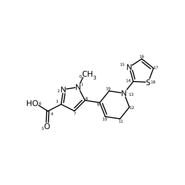 Cn1nc(C(=O)O)cc1C1=CCCN(c2nccs2)C1